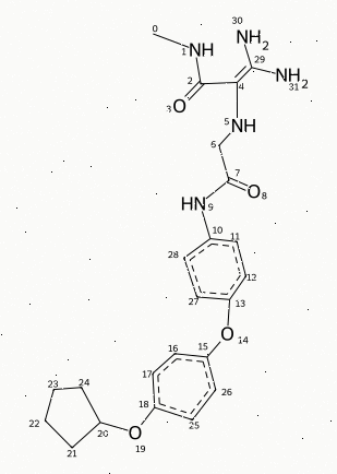 CNC(=O)C(NCC(=O)Nc1ccc(Oc2ccc(OC3CCCC3)cc2)cc1)=C(N)N